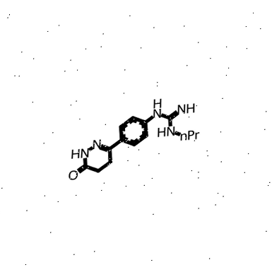 CCCNC(=N)Nc1ccc(C2=NNC(=O)CC2)cc1